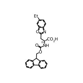 CCc1ccc2nc(C[C@H](NC(=O)OCC3c4ccccc4-c4ccccc43)C(=O)O)oc2c1